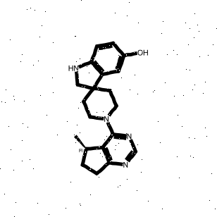 C[C@@H]1CCc2ncnc(N3CCC4(CC3)CNc3ccc(O)cc34)c21